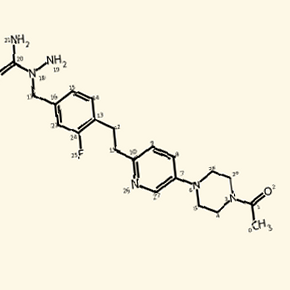 CC(=O)N1CCN(c2ccc(CCc3ccc(CN(N)C(N)=O)cc3F)nc2)CC1